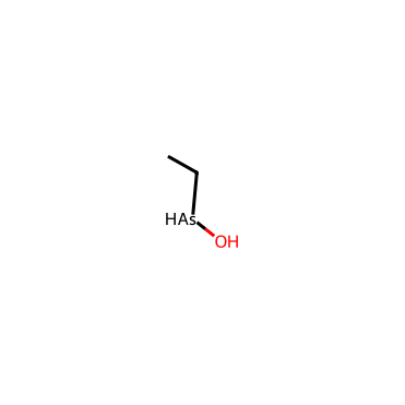 CC[AsH]O